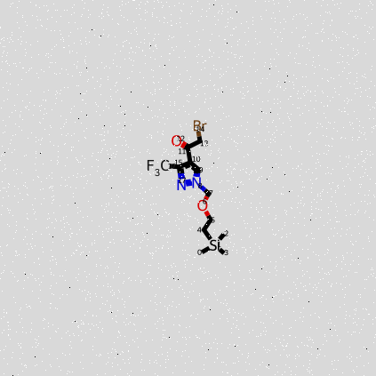 C[Si](C)(C)CCOCn1cc(C(=O)CBr)c(C(F)(F)F)n1